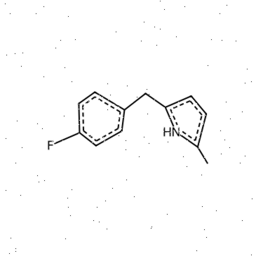 Cc1ccc(Cc2ccc(F)cc2)[nH]1